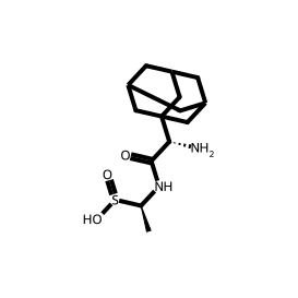 C[C@H](NC(=O)[C@@H](N)C12CC3CC(CC(C3)C1)C2)S(=O)O